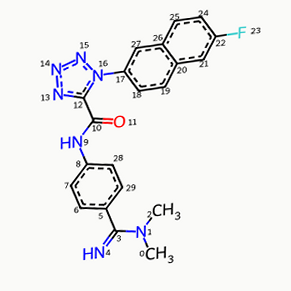 CN(C)C(=N)c1ccc(NC(=O)c2nnnn2-c2ccc3cc(F)ccc3c2)cc1